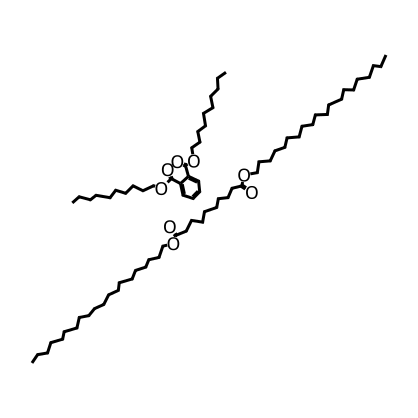 CCCCCCCCCCCCCCCCCCCCOC(=O)CCCCCCCCC(=O)OCCCCCCCCCCCCCCCCCCCC.CCCCCCCCCCOC(=O)c1ccccc1C(=O)OCCCCCCCCCC